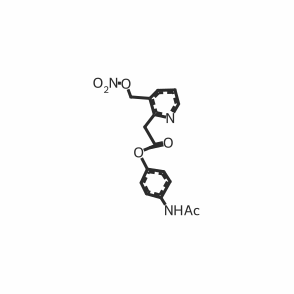 CC(=O)Nc1ccc(OC(=O)Cc2ncccc2CO[N+](=O)[O-])cc1